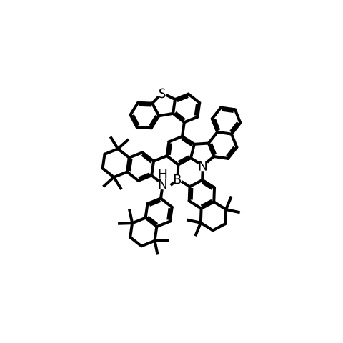 CB1c2cc3c(cc2-n2c4ccc5ccccc5c4c4c(-c5cccc6sc7ccccc7c56)cc(-c5cc6c(cc5Nc5ccc7c(c5)C(C)(C)CCC7(C)C)C(C)(C)CCC6(C)C)c1c42)C(C)(C)CCC3(C)C